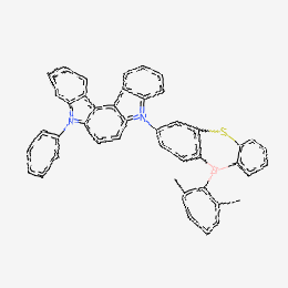 Cc1cccc(C)c1B1c2ccccc2Sc2cc(-n3c4ccccc4c4c5c6ccccc6n(-c6ccccc6)c5ccc43)ccc21